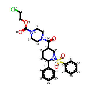 O=C(OCCCl)N1CCN(C(=O)[C@@H]2CC[C@H](c3ccccc3)N(S(=O)(=O)c3ccccc3)C2)CC1